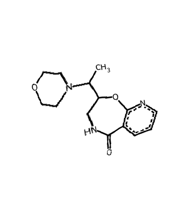 CC(C1CNC(=O)c2cccnc2O1)N1CCOCC1